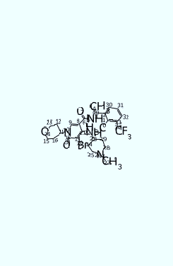 Cc1c([C@@H](C)NC(=O)c2cn(C3CCOCC3)c(=O)c(Br)c2NC2CCN(C)CC2)cccc1C(F)(F)F